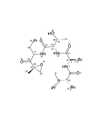 CC[C@H](C)[C@H](NC(=O)[C@H]([C@@H](C)CC)N(C)C(C)C)C(=O)N[C@H](C(=O)NC(CC(C)C)C(=O)[C@@]1(C)CO1)[C@@H](C)O